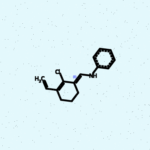 C=CC1=C(Cl)/C(=C/Nc2ccccc2)CCC1